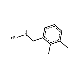 [CH2]CCNCc1cccc(C)c1C